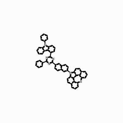 c1ccc(-c2nc(-c3ccc4cc(-n5c6ccc7cccc8sc9cccc%10ccc5c(c%109)c6c78)ccc4c3)nc(-c3cccc4c3c3ccccc3n4-c3ccccc3)n2)cc1